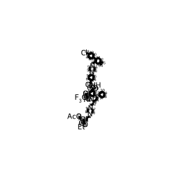 CCOP(=O)(CCCN1CCN(CC[C@H](CSc2ccccc2)Nc2ccc(S(=O)(=O)NC(=O)c3ccc(N4CCN(CC5=C(c6ccc(Cl)cc6)CCC(C)(C)C5)CC4)cc3)cc2S(=O)(=O)C(F)(F)F)CC1)OCOC(C)=O